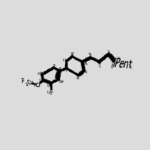 CCCC(C)CCCC1CCC(c2ccc(OC(F)(F)F)c(F)c2)CC1